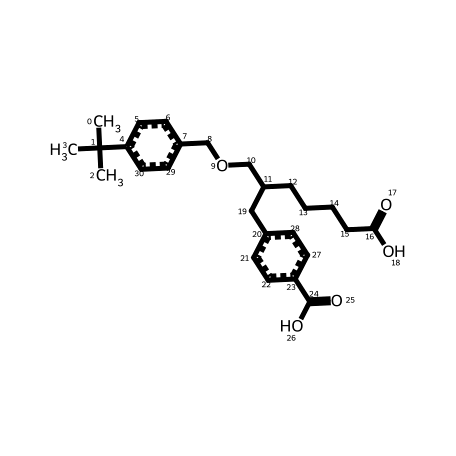 CC(C)(C)c1ccc(COCC(CCCCC(=O)O)Cc2ccc(C(=O)O)cc2)cc1